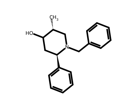 C[C@@H]1CN(Cc2ccccc2)[C@@H](c2ccccc2)CC1O